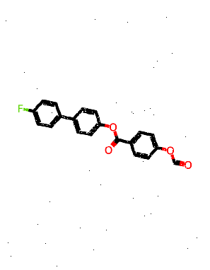 O=COc1ccc(C(=O)Oc2ccc(-c3ccc(F)cc3)cc2)cc1